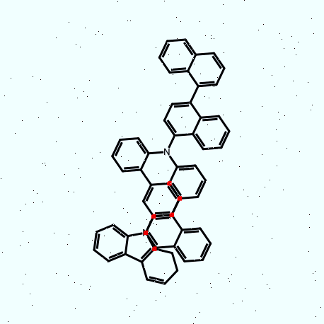 C1=Cc2c(n(-c3cccc(-c4ccccc4N(c4cccc(-c5cccc6ccccc56)c4)c4ccc(-c5cccc6ccccc56)c5ccccc45)c3)c3ccccc23)CC1